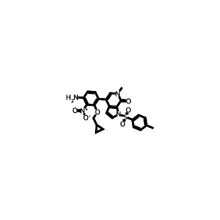 Cc1ccc(S(=O)(=O)n2ccc3c(-c4ccc(N)c([N+](=O)[O-])c4OCC4CC4)cn(C)c(=O)c32)cc1